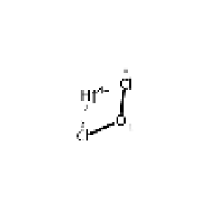 ClOCl.[Hf+4]